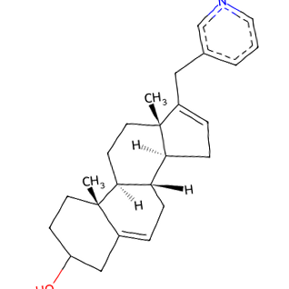 C[C@]12CCC(O)CC1=CC[C@@H]1[C@@H]2CC[C@]2(C)C(Cc3cccnc3)=CC[C@@H]12